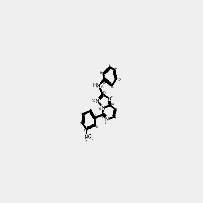 O=[N+]([O-])c1cccc(-c2nccc3nc(Nc4ccccc4)nn23)c1